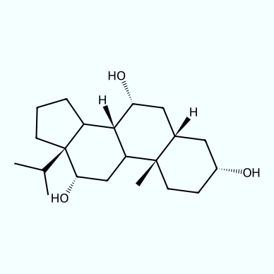 CC(C)[C@@]12CCCC1[C@H]1C(C[C@@H]2O)[C@@]2(C)CC[C@@H](O)C[C@H]2C[C@H]1O